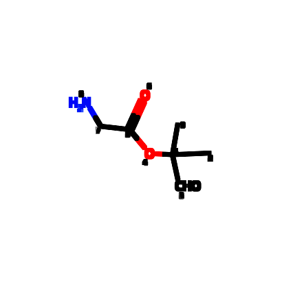 CC(C)(C=O)OC(=O)CN